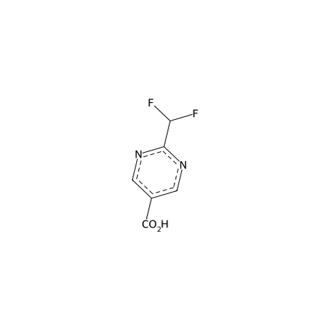 O=C(O)c1cnc(C(F)F)nc1